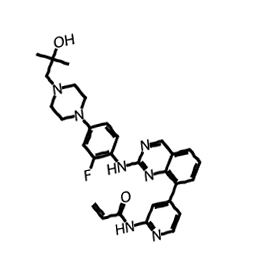 C=CC(=O)Nc1cc(-c2cccc3cnc(Nc4ccc(N5CCN(CC(C)(C)O)CC5)cc4F)nc23)ccn1